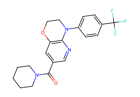 O=C(c1cnc2c(c1)OCCN2c1ccc(C(F)(F)F)cc1)N1CCCCC1